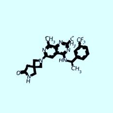 Cc1nc(N[C@H](C)c2cccc(C(F)(F)F)c2)c2cc(N3CC4(CNC(=O)C4)C3)nc(C)c2n1